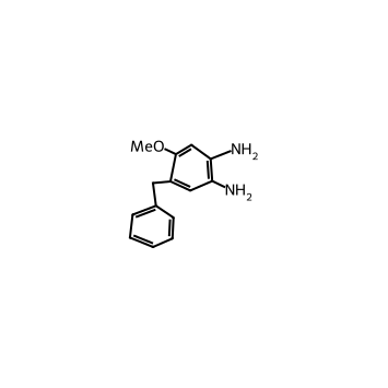 COc1cc(N)c(N)cc1Cc1ccccc1